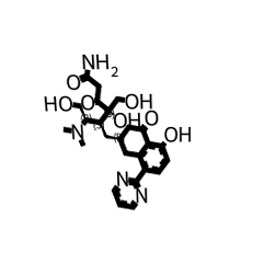 CN(C)[C@@H](CO)[C@H](C[C@H]1CC(=O)c2c(O)ccc(-c3ncccn3)c2C1)[C@](O)(CO)C(=O)CC(N)=O